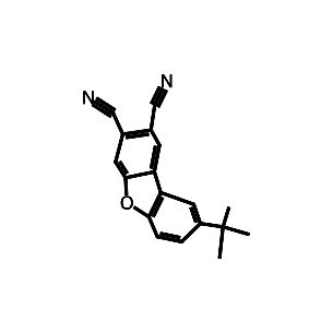 CC(C)(C)c1ccc2oc3cc(C#N)c(C#N)cc3c2c1